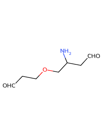 NC(CC=O)COCCC=O